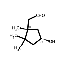 CC1(C)C[C@@H](O)C[C@@]1(C)CC=O